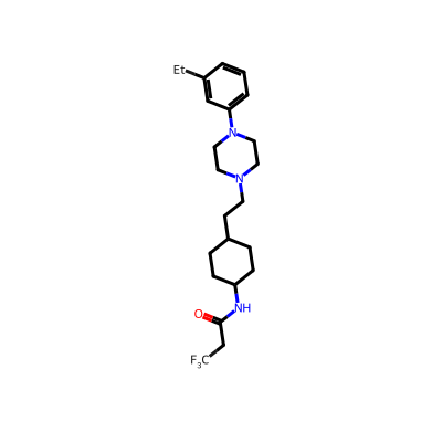 CCc1cccc(N2CCN(CCC3CCC(NC(=O)CC(F)(F)F)CC3)CC2)c1